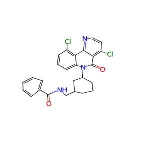 O=C(NCC1CCCC(n2c(=O)c3c(Cl)ccnc3c3c(Cl)cccc32)C1)c1ccccc1